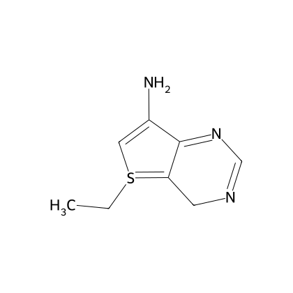 CCS1=C2CN=CN=C2C(N)=C1